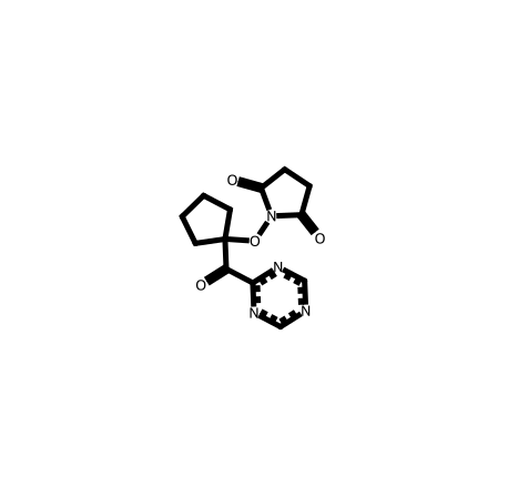 O=C1CCC(=O)N1OC1(C(=O)c2ncncn2)CCCC1